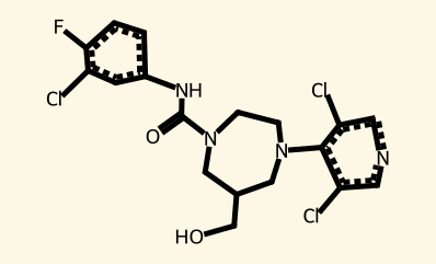 O=C(Nc1ccc(F)c(Cl)c1)N1CCN(c2c(Cl)cncc2Cl)CC(CO)C1